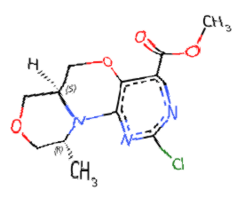 COC(=O)c1nc(Cl)nc2c1OC[C@@H]1COC[C@@H](C)N21